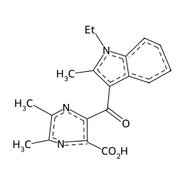 CCn1c(C)c(C(=O)c2nc(C)c(C)nc2C(=O)O)c2ccccc21